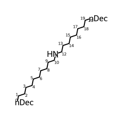 CCCCCCCCCCCCCCCCCCCCNCCCCCCCCCCCCCCCCCC